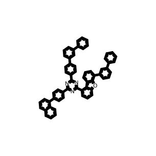 c1ccc(-c2cccc(-c3ccc(-c4nc(-c5ccc(-c6cccc7ccccc67)cc5)nc(-c5cccc6oc7c(-c8cccc(-c9ccccc9)c8)cccc7c56)n4)cc3)c2)cc1